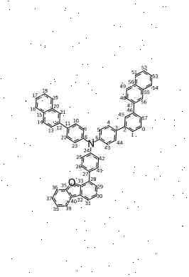 c1cc(-c2ccc(N(c3ccc(-c4ccc5ccccc5c4)cc3)c3ccc(-c4cccc5c4oc4ccccc45)cc3)cc2)cc(-c2ccc3ccccc3c2)c1